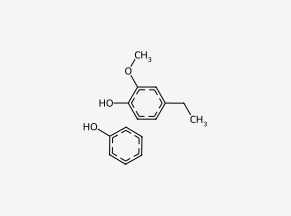 CCc1ccc(O)c(OC)c1.Oc1ccccc1